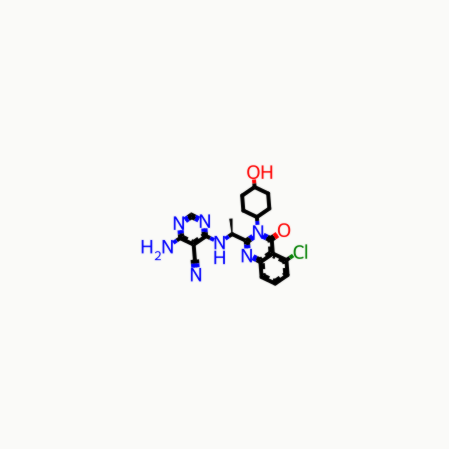 C[C@H](Nc1ncnc(N)c1C#N)c1nc2cccc(Cl)c2c(=O)n1C1CCC(O)CC1